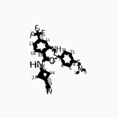 CN(C)Sc1ccc(SNc2cc(C(F)(F)F)ccc2C(=O)NC23CC(C#N)(C2)C3)cc1